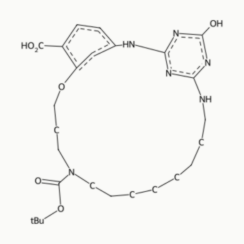 CC(C)(C)OC(=O)N1CCCCCCCCNc2nc(O)nc(n2)Nc2ccc(C(=O)O)c(c2)OCCC1